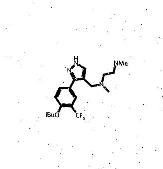 CNCCN(C)Cc1c[nH]nc1-c1ccc(OCC(C)C)c(C(F)(F)F)c1